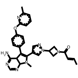 C/C=C/C(=O)N1CC(n2cc(C3=C(c4ccc(Oc5cccc(C)n5)cc4)C4C(N)=NC=NC4N3C)cn2)C1